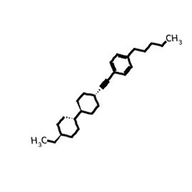 CCCCCc1ccc(C#C[C@H]2CC[C@H]([C@H]3CC[C@H](CC)CC3)CC2)cc1